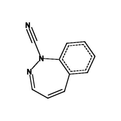 N#CN1N=CC=Cc2ccccc21